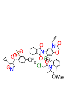 C#CCN1C(=O)COc2cc(F)c(N3C(=O)C4=C(CCCC4)C3=O)cc21.CCc1cccc(C)c1N(C(=O)CCl)C(C)COC.CS(=O)(=O)c1cc(C(F)(F)F)ccc1C(=O)c1cnoc1C1CC1